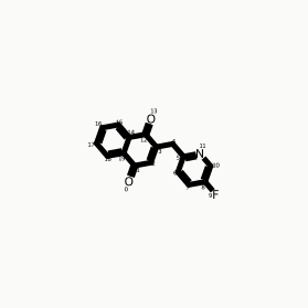 O=C1C=C(Cc2ccc(F)cn2)C(=O)c2ccccc21